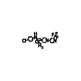 CC1(CC(=O)Nc2ccc(Cl)cc2)CCN(c2ccnc(C(F)(F)F)c2)CC1